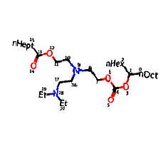 CCCCCCCCC(CCCCCC)OC(=O)OCCN(CCOC(=O)CCCCCCC)CCN(CC)CC